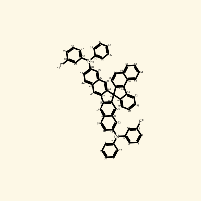 Fc1cccc(N(c2ccccc2)c2ccc3cc4c(cc3c2)C2(c3cc5cc(N(c6ccccc6)c6cccc(F)c6)ccc5cc3-4)c3ccccc3-c3c2ccc2ccccc32)c1